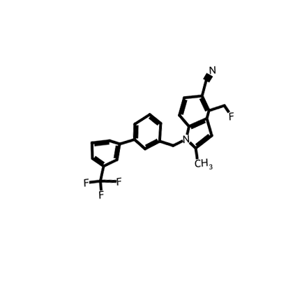 Cc1cc2c(CF)c(C#N)ccc2n1Cc1cccc(-c2cccc(C(F)(F)F)c2)c1